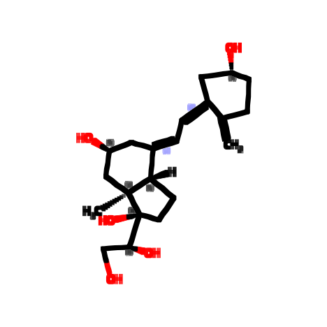 C=C1CC[C@@H](O)C/C1=C/C=C1\C[C@H](O)C[C@@]2(C)[C@H]1CC[C@]2(O)[C@@H](O)CO